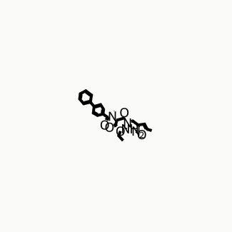 CCOC(=O)C(C(=O)N(N)Cc1cc(C)on1)N(C)C(=O)c1ccc(-c2ccccc2)cc1